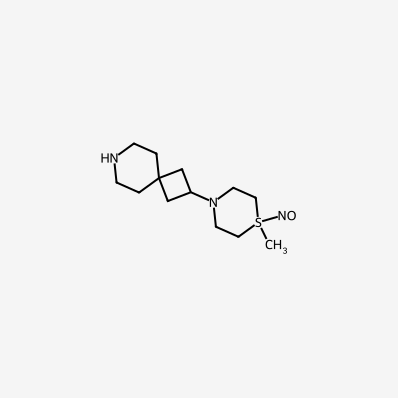 CS1(N=O)CCN(C2CC3(CCNCC3)C2)CC1